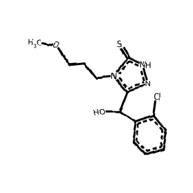 COCCCn1c(C(O)c2ccccc2Cl)n[nH]c1=S